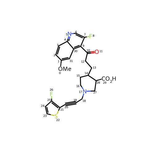 COc1ccc2ncc(F)c(C(=O)CCC3CCN(CC#Cc4sccc4F)CC3C(=O)O)c2c1